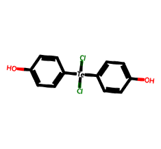 Oc1ccc([Te](Cl)(Cl)c2ccc(O)cc2)cc1